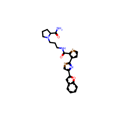 NC(=O)C1CCCN1CCCNC(=O)c1sccc1-c1nc(-c2cc3ccccc3o2)cs1